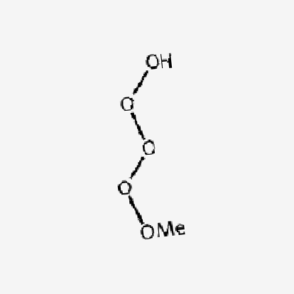 COOOOO